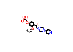 COc1cc(OCC(=O)O)ccc1C(=O)CN1CCN(c2ccncc2)CC1